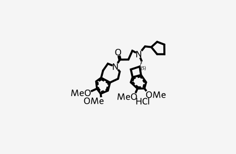 COc1cc2c(cc1OC)CCN(C(=O)CCN(CC1CCCC1)C[C@H]1Cc3cc(OC)c(OC)cc31)CC2.Cl